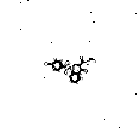 CCOC(=O)C1CN(S(=O)(=O)c2ccc(Cl)cc2)c2ccccc2C1=O